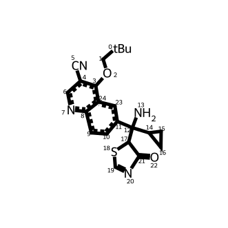 CC(C)(C)COc1c(C#N)cnc2ccc(C(N)(C3CC3)C3SC=NC3=O)cc12